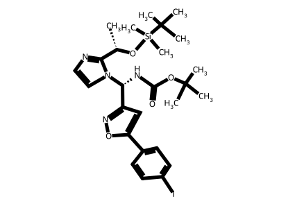 C[C@H](O[Si](C)(C)C(C)(C)C)c1nccn1[C@H](NC(=O)OC(C)(C)C)c1cc(-c2ccc(I)cc2)on1